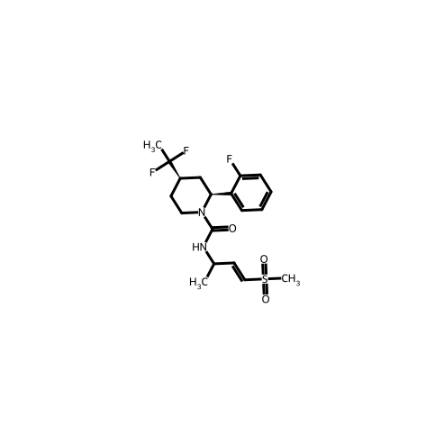 CC(/C=C/S(C)(=O)=O)NC(=O)N1CC[C@@H](C(C)(F)F)C[C@H]1c1ccccc1F